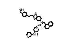 Cn1c(CCc2ccc(CN)cc2)nc2cc(N(Cc3cccc4ccccc34)C(=O)CN3CCC(Nc4cccnc4)CC3)ccc21